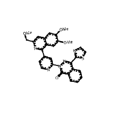 COCc1cc2cc(OC)c(OC)cc2c(-c2ccnc(-n3nc(-c4nccs4)c4ccccc4c3=O)c2)n1